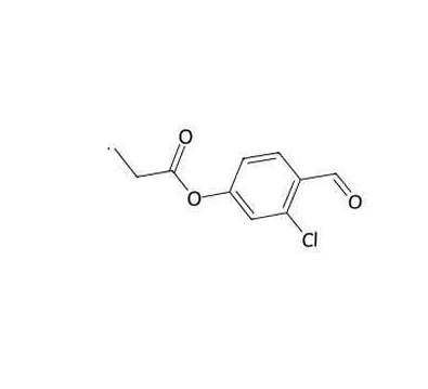 [CH2]CC(=O)Oc1ccc(C=O)c(Cl)c1